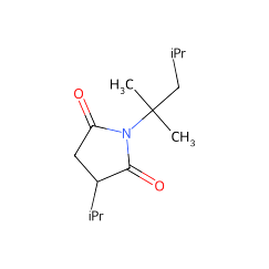 CC(C)CC(C)(C)N1C(=O)CC(C(C)C)C1=O